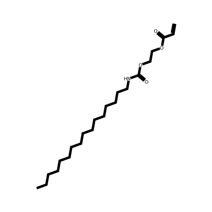 C=CC(=O)OCCOC(=O)NCCCCCCCCCCCCCCCC